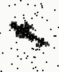 CN(C)C(=O)OCCOc1ccc(C[C@H](NC(=O)OC(C)(C)C)C(O)CNC[C@@H](O)[C@H](Cc2ccccc2)NC(=O)O)cc1